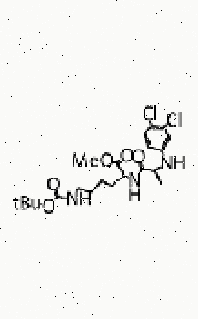 COC(=O)[C@H](CCCCNC(=O)OC(C)(C)C)NC(=O)C(C)Nc1ccc(Cl)c(Cl)c1